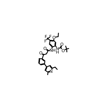 CCOc1cc(NC(=O)OC(C)(C)C)c(NC(=O)CC(=O)c2cccc(-c3cc(C)nc(CC)c3)c2)cc1C(F)(F)F